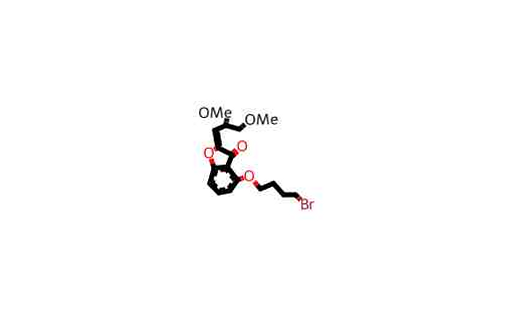 COCC(C=C1Oc2cccc(OCCCCBr)c2C1=O)OC